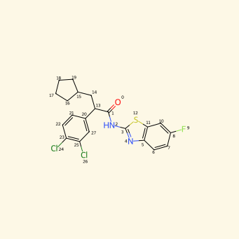 O=C(Nc1nc2ccc(F)cc2s1)C(CC1CCCC1)c1ccc(Cl)c(Cl)c1